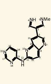 CN/C=C(\C=N)c1cnc2ccc(Nc3ccncn3)nc2c1